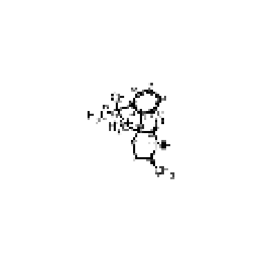 C=C1CCC(C)(c2ccccc2C(C)(C)C)C(=O)N1